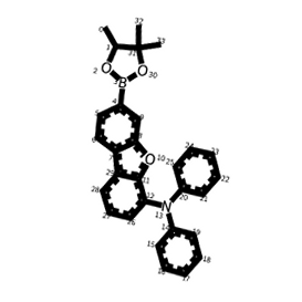 CC1OB(c2ccc3c(c2)oc2c(N(c4ccccc4)c4ccccc4)cccc23)OC1(C)C